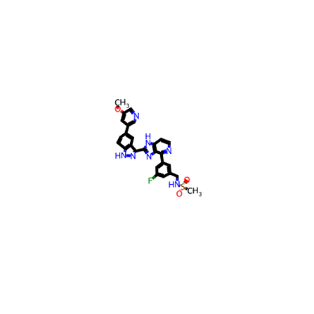 COc1cncc(-c2ccc3[nH]nc(-c4nc5c(-c6cc(F)cc(CNS(C)(=O)=O)c6)nccc5[nH]4)c3c2)c1